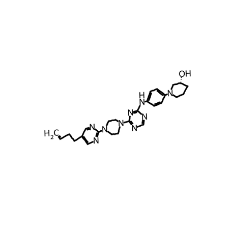 C=CCCc1cnc(N2CCN(c3ncnc(Nc4ccc(N5CCC[C@@H](O)C5)cc4)n3)CC2)nc1